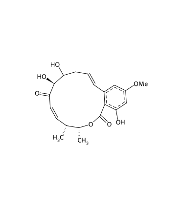 COc1cc(O)c2c(c1)/C=C/CC(O)[C@H](O)C(=O)/C=C\[C@@H](C)[C@@H](C)OC2=O